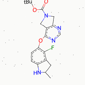 CC1Cc2c(ccc(Oc3ncnc4c3CN(C(=O)OC(C)(C)C)C4)c2F)N1